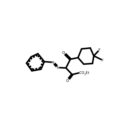 CCOC(=O)C(=O)C(N=Nc1ccccc1)C(=O)C1CCC(F)(F)CC1